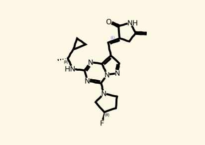 C=C1C/C(=C\c2cnn3c(N4CC[C@@H](F)C4)nc(N[C@H](C)C4CC4)nc23)C(=O)N1